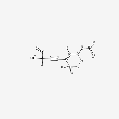 C=CC(C)(O)C#CC1=C(C)C(OC(C)=O)CCC1(C)C